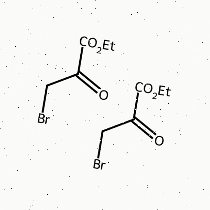 CCOC(=O)C(=O)CBr.CCOC(=O)C(=O)CBr